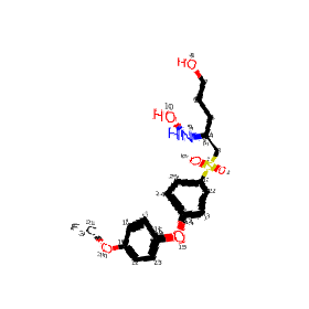 O=S(=O)(C[C@H](CCCO)NO)c1ccc(Oc2ccc(OC(F)(F)F)cc2)cc1